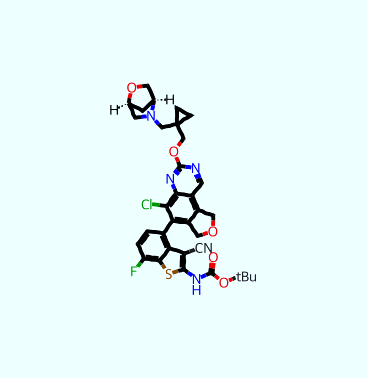 CC(C)(C)OC(=O)Nc1sc2c(F)ccc(-c3c4c(c5cnc(OCC6(CN7C[C@@H]8C[C@H]7CO8)CC6)nc5c3Cl)COC4)c2c1C#N